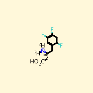 [2H]N([2H])[C@@H](CC(=O)O)CC1=CC(F)=C(F)CC1F